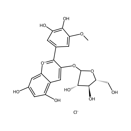 COc1cc(-c2[o+]c3cc(O)cc(O)c3cc2OC2O[C@H](CO)[C@@H](O)[C@@H]2O)cc(O)c1O.[Cl-]